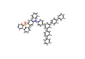 O=P1(c2ccccc2)c2ccccc2-c2cc3c(cc21)c1ccccc1n3-c1ccc(-c2cc(-c3ccc(-c4ccccc4)cc3)cc(-c3ccc(-c4ccccc4)cc3)c2)cc1